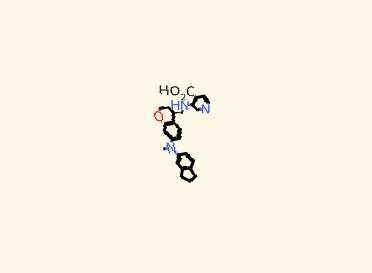 CN(c1ccc2c(c1)CCC2)c1ccc2c(c1)OCC[C@H]2CNc1cnccc1C(=O)O